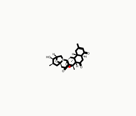 CC1=CC(=O)[C@H]2CC(=O)[C@H]3[C@@](C)(C[C@@]45OC(=O)C[C@]3(C)[C@]4(C)CC[C@]34C[C@@H](C)[C@@H](O)[C@H](CN35)O4)[C@@H]2C1